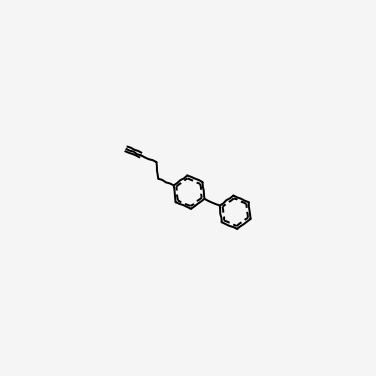 C#CCCc1ccc(-c2ccccc2)cc1